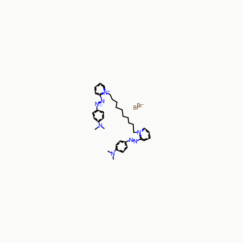 CN(C)c1ccc(/N=N/c2cccc[n+]2CCCCCCCCCC[n+]2ccccc2/N=N/c2ccc(N(C)C)cc2)cc1.[Br-].[Br-]